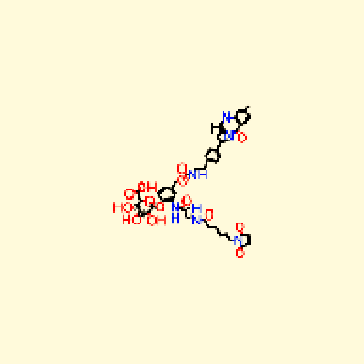 Cc1ccc2c(c1)N=C[C@@H]1CC(c3ccc(CCNC(=O)OCc4ccc(O[C@@H]5OC(C(=O)O)[C@@H](O)[C@H](O)C5O)c(NC(=O)CCNC(=O)CCCCCN5C(=O)C=CC5=O)c4)cc3)=CN1C2=O